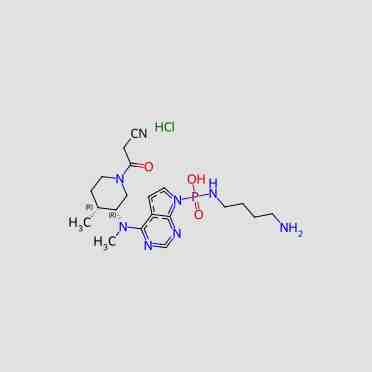 C[C@@H]1CCN(C(=O)CC#N)C[C@@H]1N(C)c1ncnc2c1ccn2P(=O)(O)NCCCCN.Cl